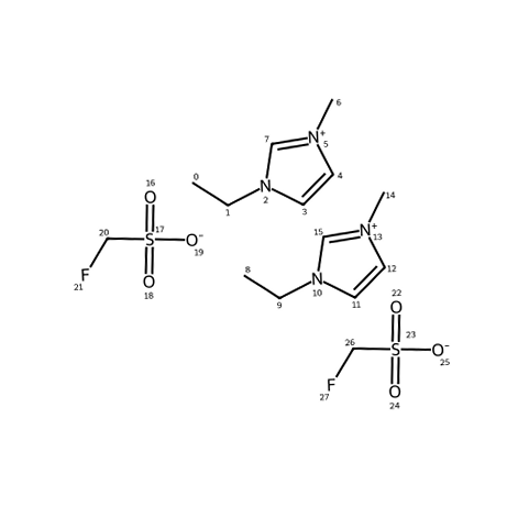 CCn1cc[n+](C)c1.CCn1cc[n+](C)c1.O=S(=O)([O-])CF.O=S(=O)([O-])CF